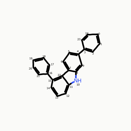 c1ccc(-c2ccc3c(c2)[nH]c2cccc(-c4ccccc4)c23)cc1